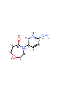 Nc1ccc(N2CCOCCC2=O)cn1